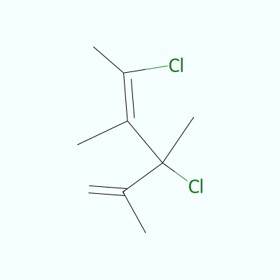 C=C(C)C(C)(Cl)/C(C)=C(/C)Cl